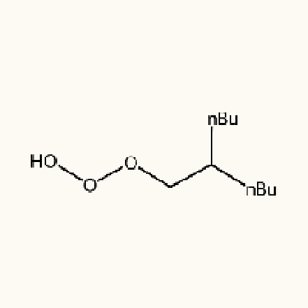 CCCCC(CCCC)COOO